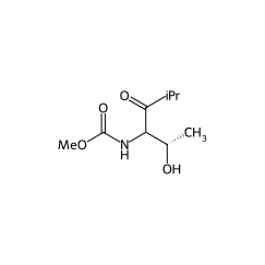 COC(=O)NC(C(=O)C(C)C)[C@H](C)O